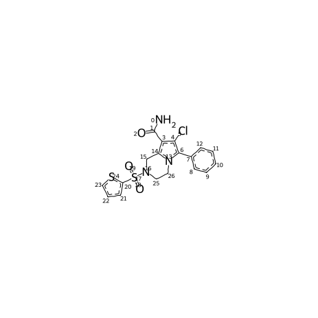 NC(=O)c1c(Cl)c(-c2ccccc2)n2c1CN(S(=O)(=O)c1cccs1)CC2